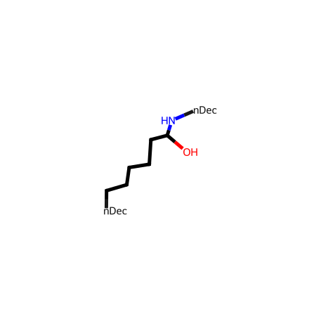 CCCCCCCCCCCCCCCC(O)NCCCCCCCCCC